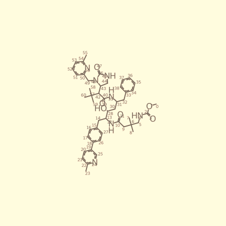 COC(=O)NCC(C)(C)CC(=O)NC(Cc1ccc(-c2ccc(C)nc2)cc1)C(O)CC(Cc1ccccc1)NC(=O)C(C1CNC(=O)N1Cc1cccc(C)n1)C(C)(C)C